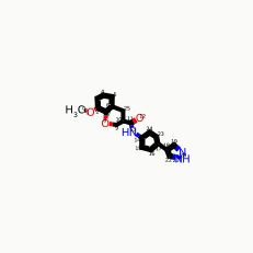 COc1cccc2c1OCC(C(=O)Nc1ccc(-c3cn[nH]c3)cc1)C2